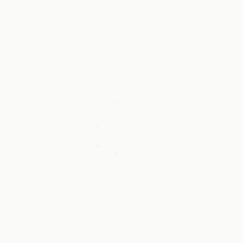 CCOC(=O)c1ncnc2c1nc(CN1CCOCC1)n2C